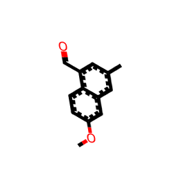 COc1ccc2c(C=O)cc(C)cc2c1